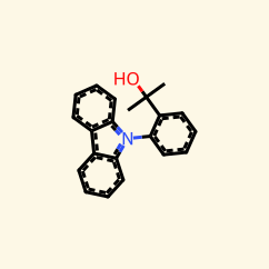 CC(C)(O)c1ccccc1-n1c2ccccc2c2ccccc21